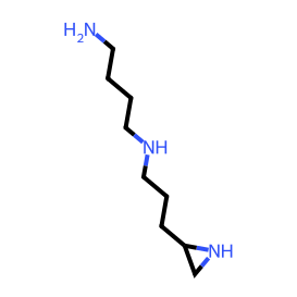 NCCCCNCCCC1CN1